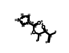 C=C(C)C(=O)C(C)OC(=O)n1ccnc1